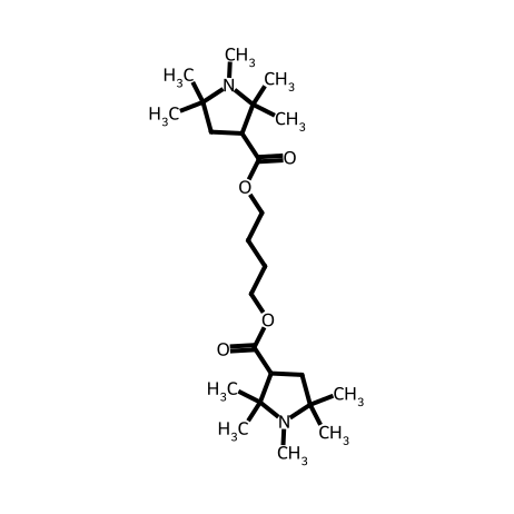 CN1C(C)(C)CC(C(=O)OCCCCOC(=O)C2CC(C)(C)N(C)C2(C)C)C1(C)C